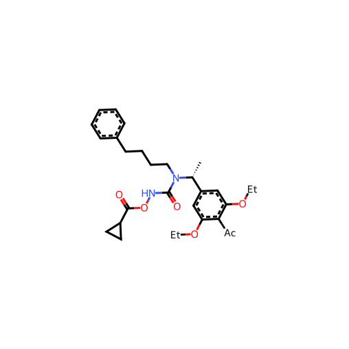 CCOc1cc([C@@H](C)N(CCCCc2ccccc2)C(=O)NOC(=O)C2CC2)cc(OCC)c1C(C)=O